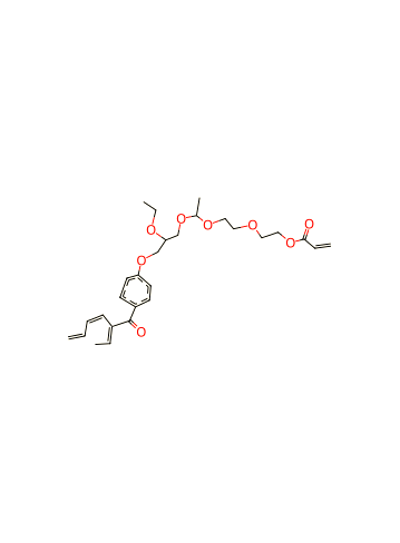 C=C/C=C\C(=C/C)C(=O)c1ccc(OCC(COC(C)OCCOCCOC(=O)C=C)OCC)cc1